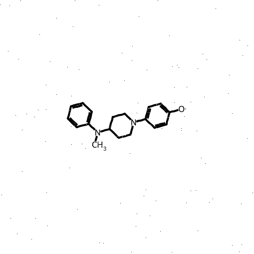 CN(c1ccccc1)C1CCN(c2ccc([O])cc2)CC1